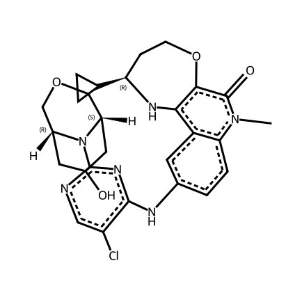 Cn1c(=O)c2c(c3cc(Nc4nc(N5[C@@H]6COC[C@H]5CC(O)C6)ncc4Cl)ccc31)N[C@@H](C1CC1)CCO2